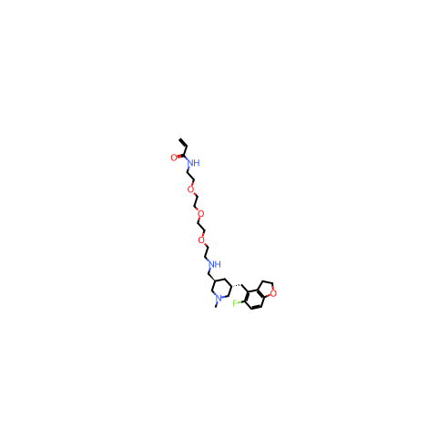 C=CC(=O)NCCOCCOCCOCCNC[C@H]1C[C@H](Cc2c(F)ccc3c2CCO3)CN(C)C1